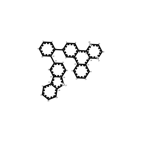 c1ccc(-c2ccc3c(c2)c2ccccc2c2nccnc32)c(-c2ccc3oc4ccccc4c3c2)c1